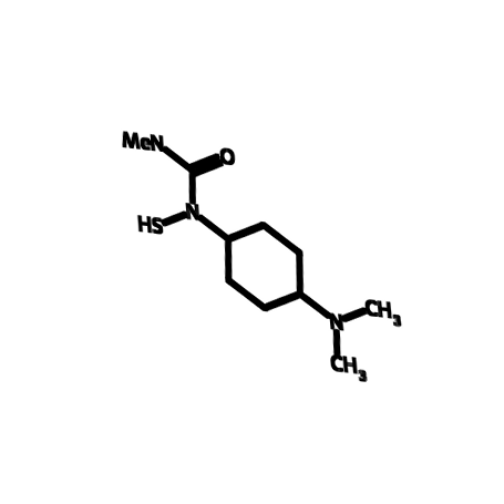 CNC(=O)N(S)C1CCC(N(C)C)CC1